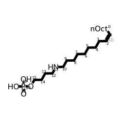 CCCCCCCC/C=C\CCCCCCCCNCCCCOP(=O)(O)O